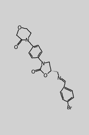 O=C1COCCN1c1ccc(N2C[C@H](C/N=C/c3ccc(Br)cc3)OC2=O)cc1